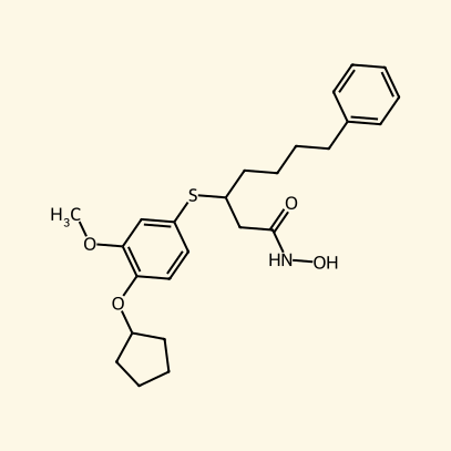 COc1cc(SC(CCCCc2ccccc2)CC(=O)NO)ccc1OC1CCCC1